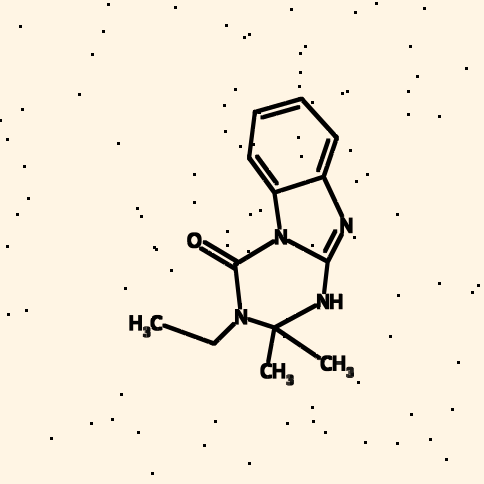 CCN1C(=O)n2c(nc3ccccc32)NC1(C)C